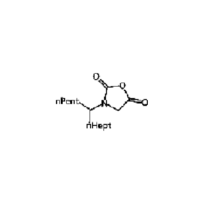 CCCCCCCC(CCCCC)N1CC(=O)OC1=O